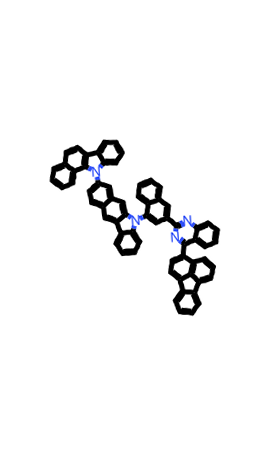 c1ccc2c(c1)-c1cccc3c(-c4nc(-c5cc(-n6c7ccccc7c7cc8ccc(-n9c%10ccccc%10c%10ccc%11ccccc%11c%109)cc8cc76)c6ccccc6c5)nc5ccccc45)ccc-2c13